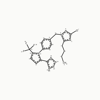 CCCCc1nc(Cl)nn1Cc1ccc(-n2c(-c3nnn[nH]3)ccc2C(F)(F)F)cc1